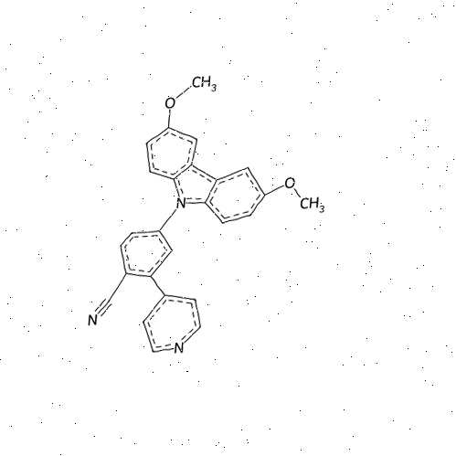 COc1ccc2c(c1)c1cc(OC)ccc1n2-c1ccc(C#N)c(-c2ccncc2)c1